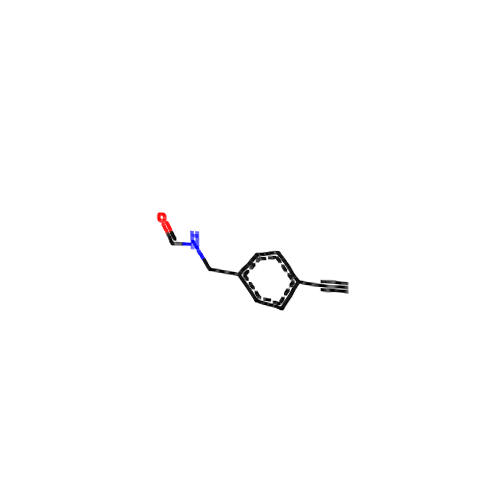 C#Cc1ccc(CNC=O)cc1